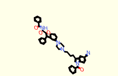 N#Cc1ccc2c(c1)c(CCCCN1CCN(c3ccc4oc(C(=O)NC(=O)c5ccccc5)c(-c5ccccc5)c4c3)CC1)cn2C(=O)c1ccccc1